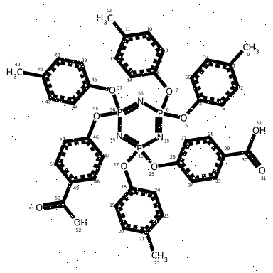 Cc1ccc(OP2(Oc3ccc(C)cc3)=NP(Oc3ccc(C)cc3)(Oc3ccc(C(=O)O)cc3)=NP(Oc3ccc(C)cc3)(Oc3ccc(C(=O)O)cc3)=N2)cc1